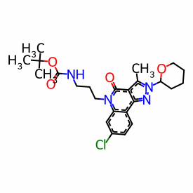 Cc1c2c(=O)n(CCCNC(=O)OC(C)(C)C)c3cc(Cl)ccc3c2nn1C1CCCCO1